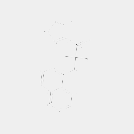 CC(C)(Cc1cccc2ccccc12)C(=O)C1=NCCO1